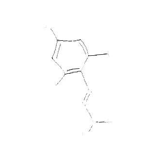 CCN(CC)/N=N/c1c(I)cc(Br)cc1I